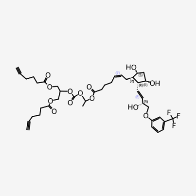 C#CCCCC(=O)OCC(COC(=O)CCCC#C)OC(=O)OC(C)OC(=O)CCC/C=C\C[C@@H]1[C@@H](/C=C/[C@@H](O)COc2cccc(C(F)(F)F)c2)[C@H](O)C[C@@H]1O